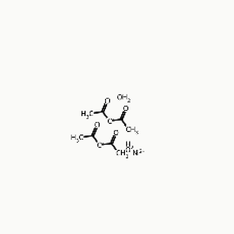 CC(=O)[CH-]C(C)=O.CC(=O)[CH-]C(C)=O.O.O.[Ni+2]